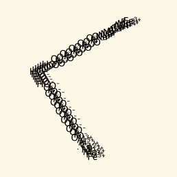 O=P([O-])([O-])[O-].O=P([O-])([O-])[O-].O=P([O-])([O-])[O-].O=P([O-])([O-])[O-].O=P([O-])([O-])[O-].O=P([O-])([O-])[O-].O=P([O-])([O-])[O-].O=P([O-])([O-])[O-].O=P([O-])([O-])[O-].O=P([O-])([O-])[O-].O=P([O-])([O-])[O-].[Al+3].[Al+3].[Al+3].[Al+3].[Ca+2].[Ca+2].[Ca+2].[Ca+2].[Fe+3].[Fe+3].[Fe+3].[Fe+3].[Mn+2].[Mn+2].[Mn+2].[Mn+2].[Na+].[Na+].[Na+].[Na+].[OH-].[OH-].[OH-].[OH-].[OH-].[OH-].[OH-].[OH-].[OH-].[OH-].[OH-]